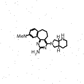 CNc1ccc2c(c1)-c1nc(N)nc(N3C[C@H]4CCCN[C@H]4C3)c1CCC2